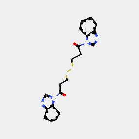 O=C(CCSSCCC(=O)n1cnc2ccccc21)n1cnc2ccccc21